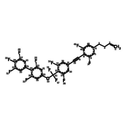 C=CCCc1cc(F)c(C#Cc2cc(F)c(C(F)(F)Oc3cc(F)c(-c4cc(F)c(F)c(F)c4)c(F)c3)c(F)c2)c(F)c1